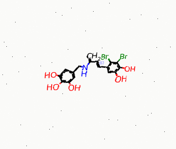 C=C(/C=C/c1cc(O)c(O)c(Br)c1Br)NCc1cc(O)c(O)c(O)c1